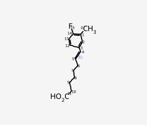 Cc1cc(/C=C/CCCCCC(=O)O)ccc1F